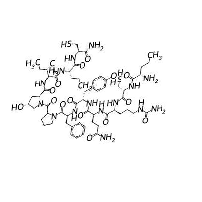 CCC[C@H](NC(=O)[C@@H](NC(=O)[C@@H]1C[C@@H](O)CN1C(=O)[C@@H]1CCCN1C(=O)[C@H](Cc1ccccc1)NC(=O)[C@H](Cc1ccc(O)cc1)NC(=O)[C@H](CCC(N)=O)NC(=O)[C@H](CCCNC(N)=O)NC(=O)[C@H](CS)NC(=O)[C@@H](N)CCC)[C@@H](C)CC)C(=O)N[C@@H](CS)C(N)=O